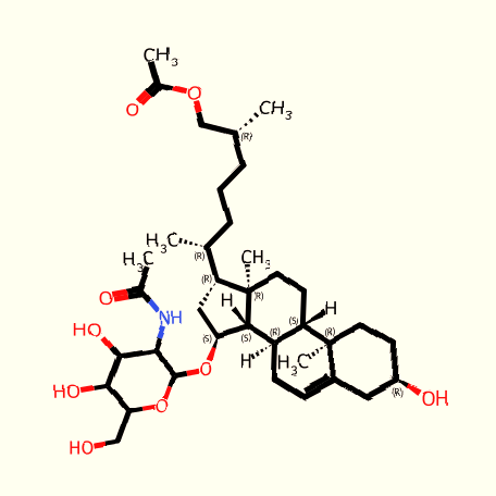 CC(=O)NC1C(O[C@H]2C[C@H]([C@H](C)CCC[C@@H](C)COC(C)=O)[C@@]3(C)CC[C@H]4[C@@H](CC=C5C[C@H](O)CC[C@@]54C)[C@H]23)OC(CO)C(O)C1O